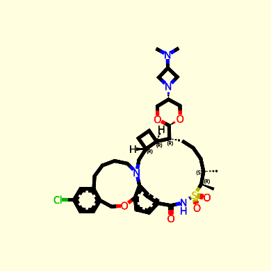 C[C@@H]1[C@@H](C)CCC[C@@H]([C@H]2OC[C@@H](N3CC(N(C)C)C3)CO2)[C@@H]2CC[C@H]2CN2CCCCc3cc(Cl)ccc3COc3ccc(cc32)C(=O)NS1(=O)=O